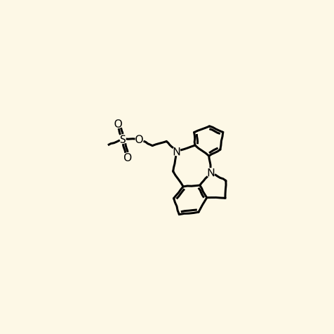 CS(=O)(=O)OCCN1Cc2cccc3c2N(CC3)c2ccccc21